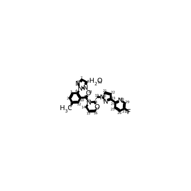 Cc1ccc(-n2nccn2)c(C(=O)N2CC=CO[C@H]2Cn2ccc(-c3ccc(F)cn3)n2)c1.O